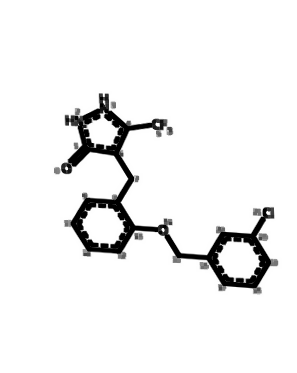 O=c1[nH][nH]c(C(F)(F)F)c1Cc1ccccc1OCc1cccc(Cl)c1